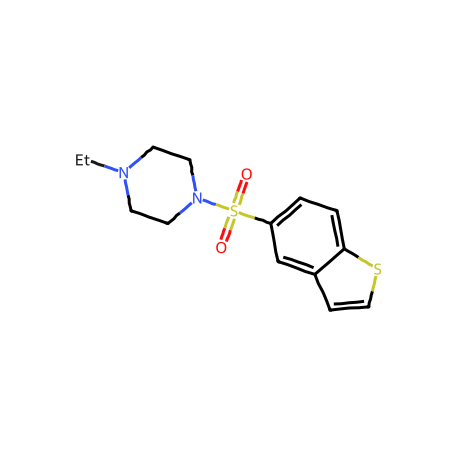 CCN1CCN(S(=O)(=O)c2ccc3sccc3c2)CC1